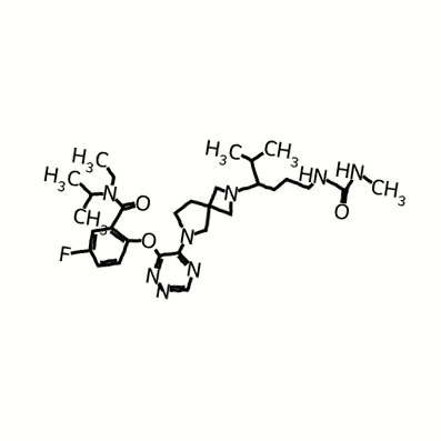 CCN(C(=O)c1cc(F)ccc1Oc1nncnc1N1CCC2(C1)CN(C(CCCNC(=O)NC)C(C)C)C2)C(C)C